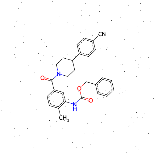 Cc1ccc(C(=O)N2CCC(c3ccc(C#N)cc3)CC2)cc1NC(=O)OCc1ccccc1